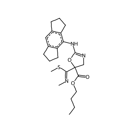 CCCCOC(=O)C1(/C(=N/C)SC)CN=C(Nc2c3c(cc4c2CCC4)CCC3)O1